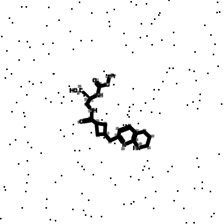 CCCOC(=O)N[C@@H](CNC(=O)C1CC(Cc2ccc3c(n2)NCCC3)C1)C(=O)O